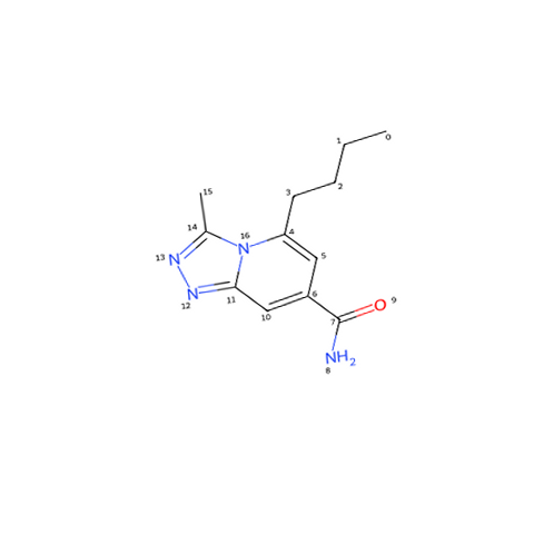 CCCCc1cc(C(N)=O)cc2nnc(C)n12